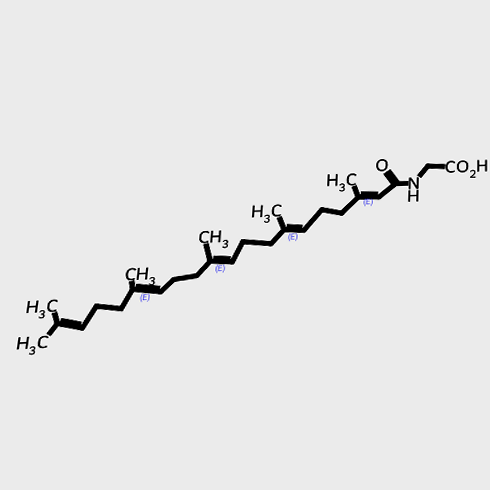 CC(C)=CCC/C(C)=C/CC/C(C)=C/CC/C(C)=C/CC/C(C)=C/C(=O)NCC(=O)O